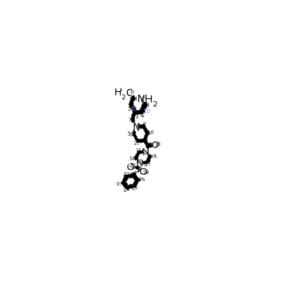 C=C/C=C(\C=C/N)CN1CCC(C(=O)N2CCN(S(=O)(=O)c3ccccc3)CC2)CC1